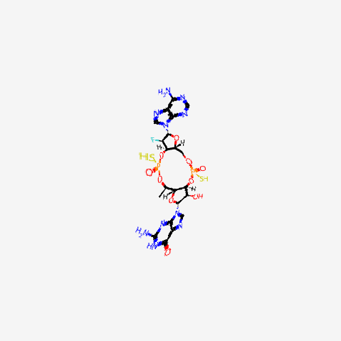 C[C@H]1O[P@](=O)(S)O[C@H]2[C@@H](F)[C@H](n3cnc4c(N)ncnc43)O[C@@H]2CO[P@@](=O)(S)O[C@H]2[C@@H](O)[C@H](n3cnc4c(=O)[nH]c(N)nc43)O[C@@H]21